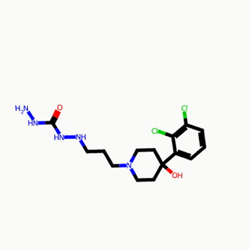 NNC(=O)NNCCCN1CCC(O)(c2cccc(Cl)c2Cl)CC1